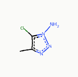 Cc1nnn(N)c1Cl